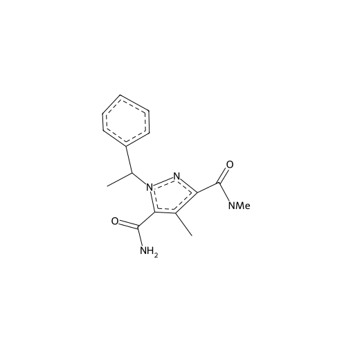 CNC(=O)c1nn(C(C)c2ccccc2)c(C(N)=O)c1C